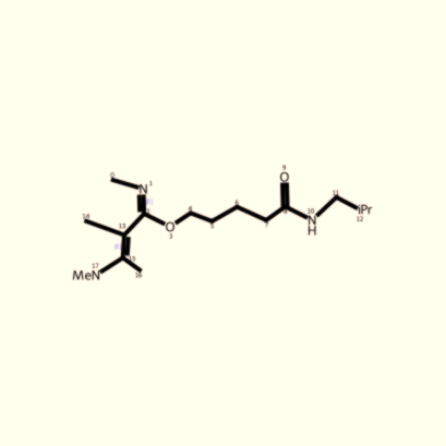 C/N=C(OCCCCC(=O)NCC(C)C)\C(C)=C(/C)NC